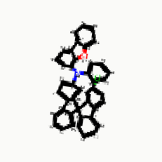 Clc1ccc2c(c1)C1(c3ccccc3-2)c2ccccc2-c2ccc(N(c3ccccc3)c3cccc4c3oc3ccccc34)cc21